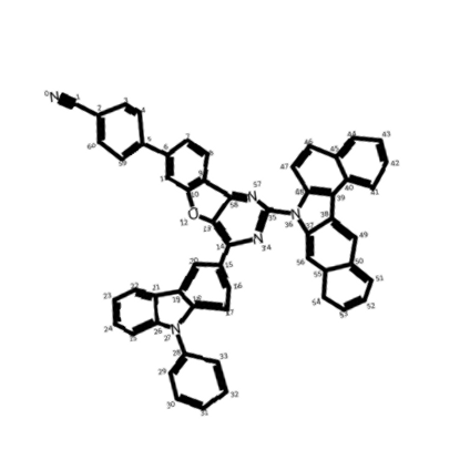 N#Cc1ccc(-c2ccc3c(c2)oc2c(-c4ccc5c(c4)c4ccccc4n5-c4ccccc4)nc(-n4c5c(c6c7ccccc7ccc64)=CC4=CC=CCC4C=5)nc23)cc1